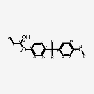 CCC(O)Oc1ccc(C(C)(C)c2ccc(OC)cc2)cc1